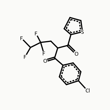 O=C(c1ccc(Cl)cc1)C(CC(F)(F)C(F)F)C(=O)c1cccs1